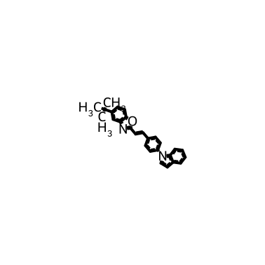 CC(C)(C)c1ccc2oc(/C=C/c3ccc(-n4ccc5ccccc54)cc3)nc2c1